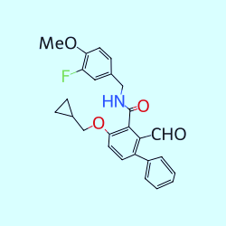 COc1ccc(CNC(=O)c2c(OCC3CC3)ccc(-c3ccccc3)c2C=O)cc1F